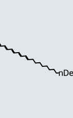 [CH]=CC=CC=CC=CC=CCCCCCCCCCCCCCCCCCC